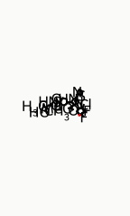 COC(=O)C1=C(C2CCC(S(=O)(=O)NCCC(C)(C)O)CC2)NC(c2nccs2)=NC1c1ccc(F)c(F)c1Cl